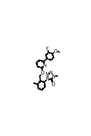 COc1ccc(-c2cccc(OCc3c(C)cccc3-n3nnn(C)c3=O)n2)cc1F